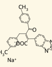 Cc1ccc(C/C(C(=O)c2ccc(C)cc2)=C(\C(=O)[O-])c2ccc3nsnc3c2)cc1.[Na+]